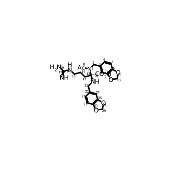 CC(=O)N(Cc1ccc2c(c1)OCO2)[C@](CCCNC(=N)N)(NCc1ccc2c(c1)OCO2)C(=O)O